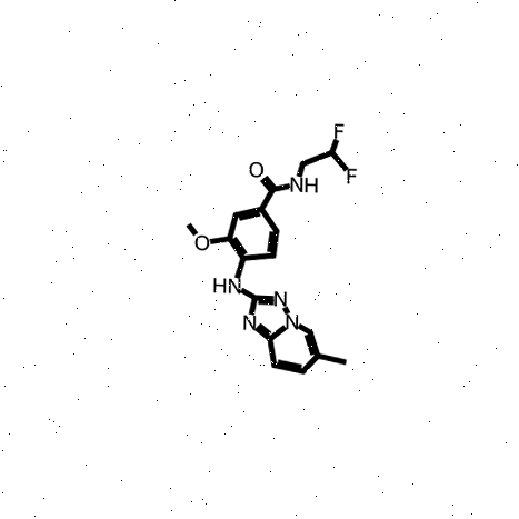 COc1cc(C(=O)NCC(F)F)ccc1Nc1nc2ccc(C)cn2n1